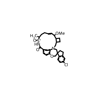 COC1/C=C/CCC(C)[S+]([O-])NC(=O)c2ccc3c(c2)N(CC2CCC21)CC1(CCc2cc(Cl)ccc21)CO3